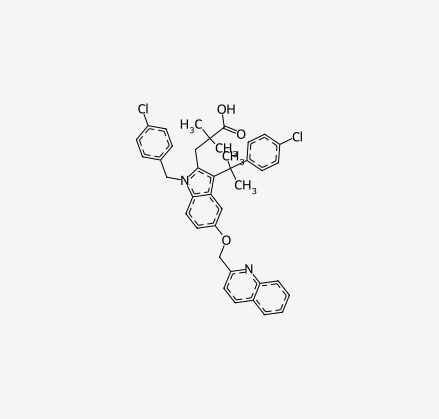 CC(C)(Cc1c(C(C)(C)c2ccc(Cl)cc2)c2cc(OCc3ccc4ccccc4n3)ccc2n1Cc1ccc(Cl)cc1)C(=O)O